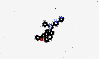 C1=Cc2ccc(-c3cc(-c4ccc(-c5cccnc5)nc4)nc(-c4ccccc4)n3)cc2C2(c3ccccc31)c1ccccc1-c1cc3c(cc12)oc1ccccc13